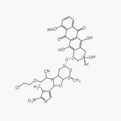 COc1cccc2c1C(=O)c1c(O)c3c(c(O)c1C2=O)C[C@@](O)(C(C)=O)C[C@@H]3O[C@H]1CC2C(OC(c3cnc([N+](=O)[O-])n3C)N2C(C#N)COCCCl)[C@H](C)O1